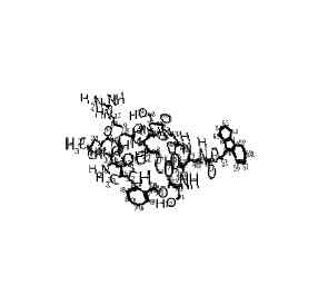 CC[C@H](C)[C@H](NC(=O)[C@@H](CCCNC(=N)N)NC(=O)[C@H](CC(C)C)NC(=O)C(N)[C@H](O)C(C)C)C(=O)N[C@@H](CO)C(=O)NCC(=O)N[C@@H](CNC(=O)OCC1c2ccccc2-c2ccccc21)C(=O)N[C@@H](CO)C(=O)OCC1=CCCC=C1